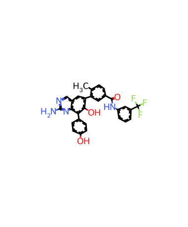 Cc1ccc(C(=O)Nc2cccc(C(F)(F)F)c2)cc1-c1cc2cnc(N)nc2c(-c2ccc(O)cc2)c1O